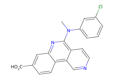 CN(c1cccc(Cl)c1)c1nc2cc(C(=O)O)ccc2c2cnccc12